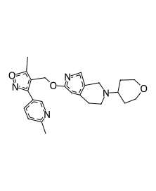 Cc1ccc(-c2noc(C)c2COc2cc3c(cn2)CN(C2CCOCC2)CC3)cn1